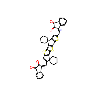 O=C1C(=O)c2ccccc2/C1=C/C1=Cc2sc3c4c(sc3c2C12CCCCC2)-c1sc(/C=C2\C(=O)C(=O)c3ccccc32)cc1C41CCCCC1